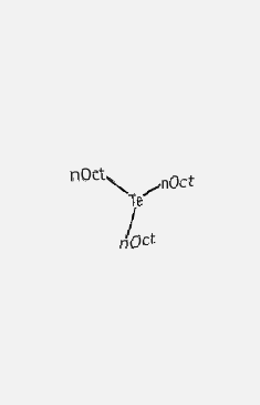 CCCCCCCC[Te](CCCCCCCC)CCCCCCCC